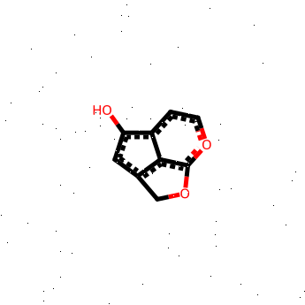 Oc1cc2c3c(occc1-3)OC2